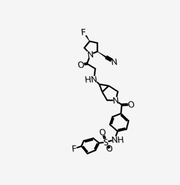 N#C[C@@H]1C[C@H](F)CN1C(=O)CNC1C2CN(C(=O)c3ccc(NS(=O)(=O)c4ccc(F)cc4)cc3)CC21